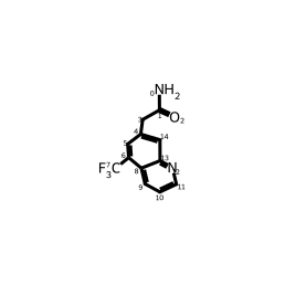 NC(=O)Cc1cc(C(F)(F)F)c2cccnc2c1